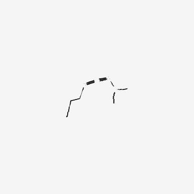 CCCN=C=NN(C)C.Cl